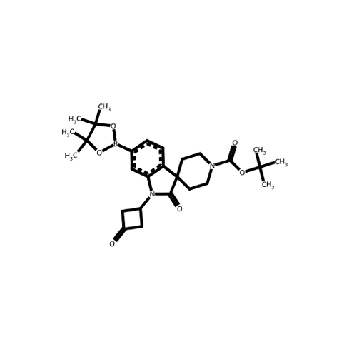 CC(C)(C)OC(=O)N1CCC2(CC1)C(=O)N(C1CC(=O)C1)c1cc(B3OC(C)(C)C(C)(C)O3)ccc12